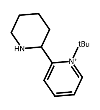 CC(C)(C)[n+]1ccccc1C1CCCCN1